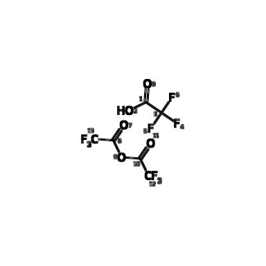 O=C(O)C(F)(F)F.O=C(OC(=O)C(F)(F)F)C(F)(F)F